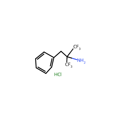 Cl.NC(Cc1ccccc1)(C(F)(F)F)C(F)(F)F